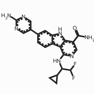 NC(=O)c1cnc(NC(C(F)F)C2CC2)c2c1[nH]c1cc(-c3cnc(N)nc3)ccc12